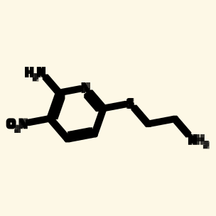 NCCSc1ccc([N+](=O)[O-])c(N)n1